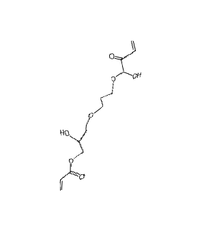 C=CC(=O)OCC(O)COCCCOC(O)C(=O)C=C